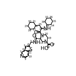 O=C(NCc1cc2cnccc2s1)[C@@H]1CN(C(=O)O)CCN1C(=O)C(CC1CCCCC1)NC1CCCCC1